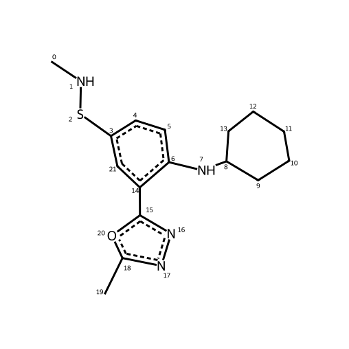 CNSc1ccc(NC2CCCCC2)c(-c2nnc(C)o2)c1